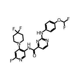 O=C(Nc1cnc(F)cc1N1CCC(F)(F)CC1)c1ccnc(Nc2ccc(OC(F)F)cc2)n1